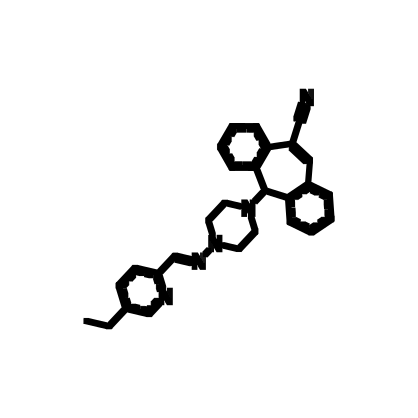 CCc1ccc(C=NN2CCN(C3c4ccccc4C=C(C#N)c4ccccc43)CC2)nc1